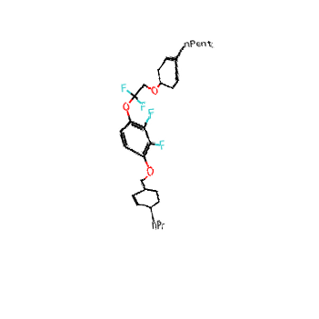 CCCCCC1CCC(OCC(F)(F)Oc2ccc(OCC3CCC(CCC)CC3)c(F)c2F)CC1